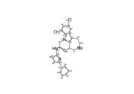 O=C(Cn1c2c(c3cc(Cl)cc(Cl)c31)CCNCC2)Nc1nc(-c2ccccc2)cs1